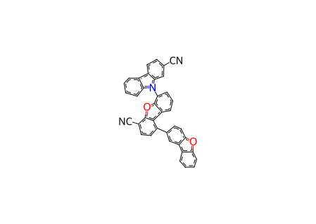 N#Cc1ccc2c3ccccc3n(-c3cccc4c3oc3c(C#N)ccc(-c5ccc6oc7ccccc7c6c5)c34)c2c1